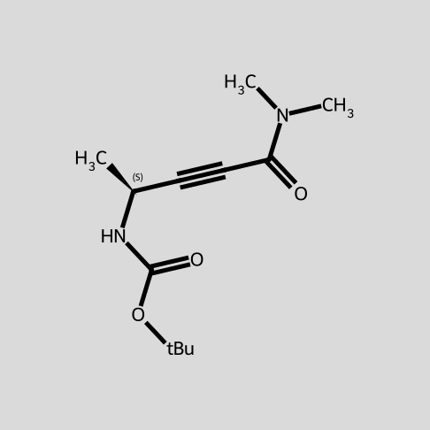 C[C@@H](C#CC(=O)N(C)C)NC(=O)OC(C)(C)C